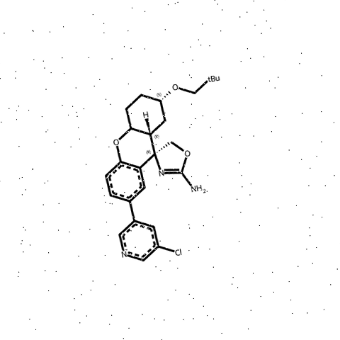 CC(C)(C)CO[C@H]1CCC2Oc3ccc(-c4cncc(Cl)c4)cc3[C@@]3(COC(N)=N3)[C@H]2C1